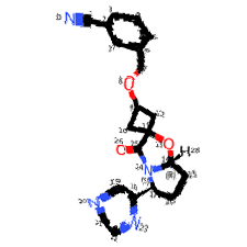 N#Cc1cccc(COC2CC3(C2)O[C@@H]2CC[C@@H](c4cnccn4)N2C3=O)c1